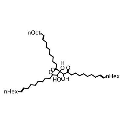 CCCCCCC=CCCCCCCCC(=O)C(O)C(O)(C(=O)CCCCCCCC=CCCCCCCCC)C(O)C(=O)CCCCCCCC=CCCCCCC